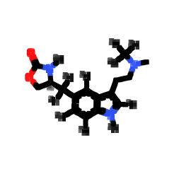 [2H]c1c(C([2H])([2H])[C@H]2COC(=O)N2[2H])c([2H])c2c(CCN(C)C([2H])([2H])[2H])c([2H])n([2H])c2c1[2H]